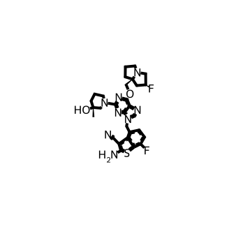 C[C@@]1(O)CCCN(c2nc(OC[C@@]34CCCN3C[C@H](F)C4)c3ncn(Cc4ccc(F)c5sc(N)c(C#N)c45)c3n2)C1